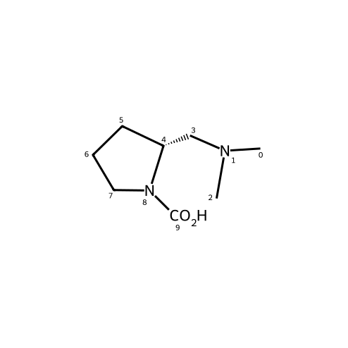 CN(C)C[C@H]1CCCN1C(=O)O